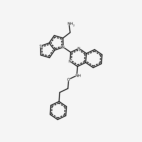 NCc1cc2sccc2n1-c1nc(NOCCc2ccccc2)c2ccccc2n1